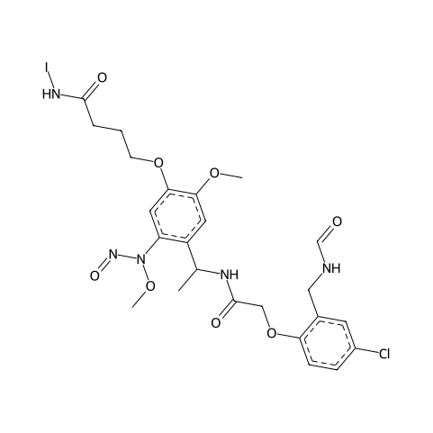 COc1cc(C(C)NC(=O)COc2ccc(Cl)cc2CNC=O)c(N(N=O)OC)cc1OCCCC(=O)NI